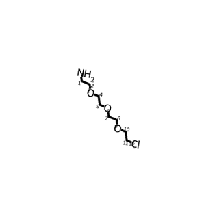 NCCOCCOCCOCCCl